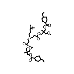 CCC1CCC(C(=O)OCC(C)(COC)COC(=O)CCN(CCCN(C)C)CCC(=O)OCC(C)(COC)COC(=O)C2CCC(CC)CC2)CC1